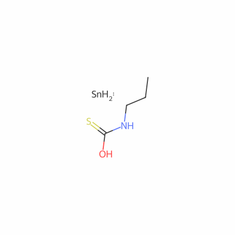 CCCNC(O)=S.[SnH2]